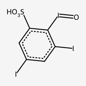 O=Ic1c(I)cc(I)cc1S(=O)(=O)O